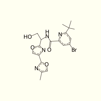 Cc1coc(-c2coc(C(CO)NC(=O)c3cc(Br)cc(C(C)(C)C)n3)n2)n1